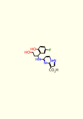 O=C(O)c1cnn2ccc(NC(CCO)c3cc(F)ccc3O)nc12